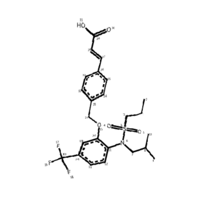 CCCS(=O)(=O)N(CC(C)C)c1ccc(C(F)(F)F)cc1OCc1ccc(/C=C/C(=O)O)cc1